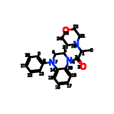 CC(C(=O)N1CCN(c2ccccc2)c2ccccc21)N1CCOCC1